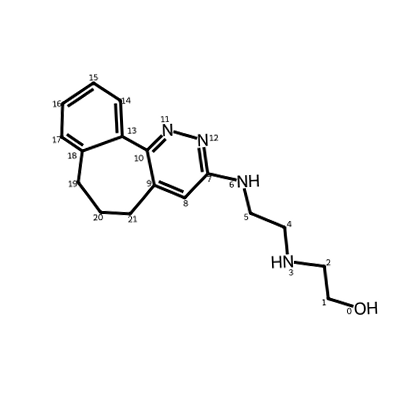 OCCNCCNc1cc2c(nn1)-c1ccccc1CCC2